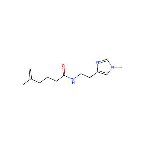 C=C(C)CCCC(=O)NCCc1cn(C)cn1